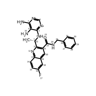 C[C@H](Nc1ncnc(N)c1N)c1nc2ccc(F)cc2cc1C(=O)NCc1ccccc1